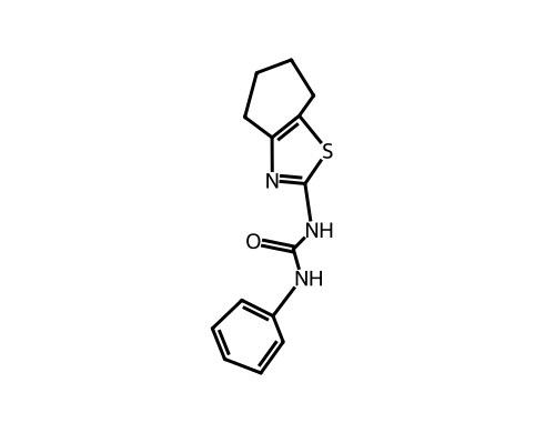 O=C(Nc1ccccc1)Nc1nc2c(s1)CCCC2